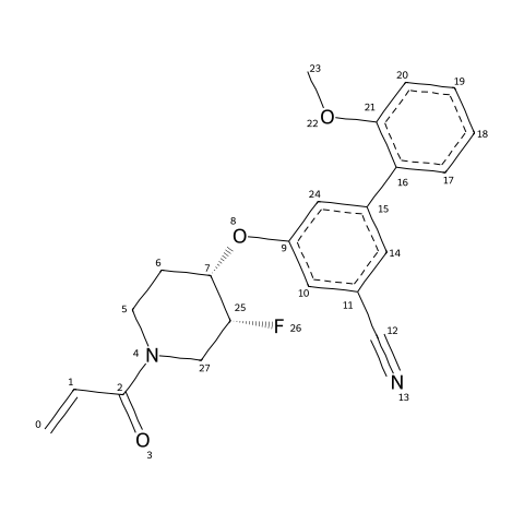 C=CC(=O)N1CC[C@H](Oc2cc(C#N)cc(-c3ccccc3OC)c2)[C@H](F)C1